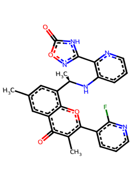 Cc1cc([C@@H](C)Nc2cccnc2-c2noc(=O)[nH]2)c2oc(-c3cccnc3F)c(C)c(=O)c2c1